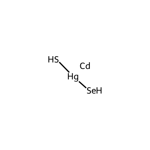 [Cd].[SH][Hg][SeH]